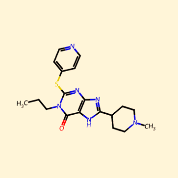 CCCn1c(Sc2ccncc2)nc2nc(C3CCN(C)CC3)[nH]c2c1=O